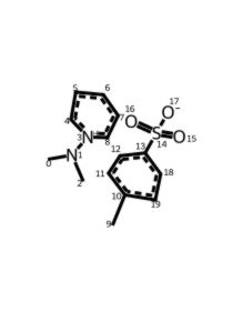 CN(C)[n+]1ccccc1.Cc1ccc(S(=O)(=O)[O-])cc1